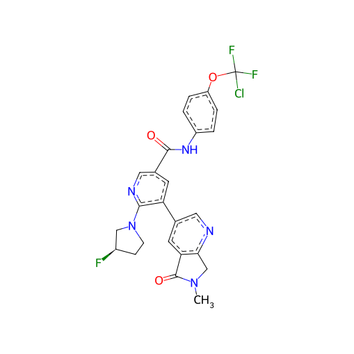 CN1Cc2ncc(-c3cc(C(=O)Nc4ccc(OC(F)(F)Cl)cc4)cnc3N3CC[C@@H](F)C3)cc2C1=O